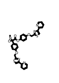 CN1OC1(C(=O)Oc1ccc(OCc2nc(-c3ccccn3)cs2)cc1)c1ccc(OCc2nc(-c3ccccn3)cs2)cc1